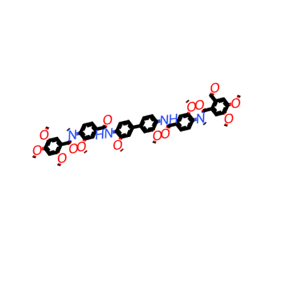 COc1cc(-c2ccc(NC(=O)c3ccc(N(C)C(=O)c4cc(OC)c(OC)cc4OC)c(OC)c3)c(OC)c2)ccc1NC(=O)c1ccc(N(C)C(=O)c2cc(OC)c(OC)cc2C=O)c(OC)c1